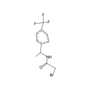 CC(NC(=O)CBr)c1ccc(C(F)(F)F)cc1